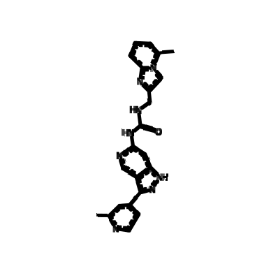 Cc1cc(-c2n[nH]c3cc(NC(=O)NCc4cn5c(C)cccc5n4)ncc23)ccn1